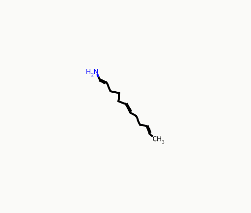 CC=CCCC=CCCCC=CN